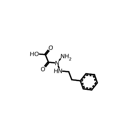 NN(NCCc1ccccc1)C(=O)C(=O)O